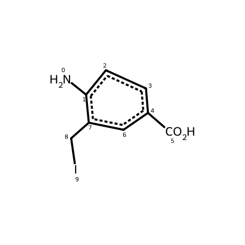 Nc1ccc(C(=O)O)cc1CI